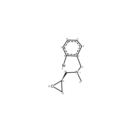 CN(Cc1ccccc1Br)C[C@H]1CO1